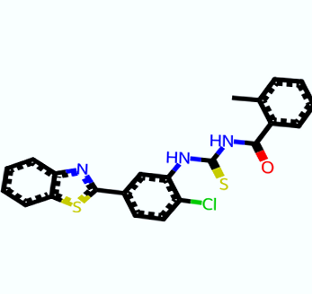 Cc1ccccc1C(=O)NC(=S)Nc1cc(-c2nc3ccccc3s2)ccc1Cl